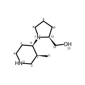 C[C@H]1CNCC[C@H]1N1CCC[C@H]1CO